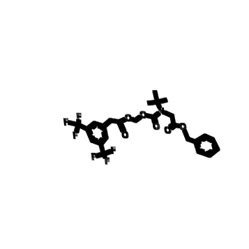 CC(C)(C)N(CC(=O)OCc1ccccc1)C(=O)OCOC(=O)Cc1cc(C(F)(F)F)cc(C(F)(F)F)c1